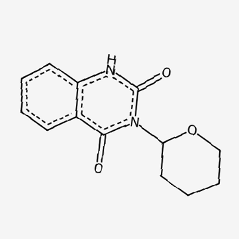 O=c1[nH]c2ccccc2c(=O)n1C1CCCCO1